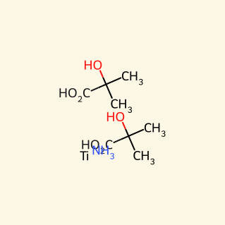 CC(C)(O)C(=O)O.CC(C)(O)C(=O)O.N.[Ti]